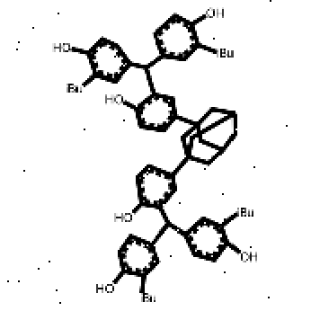 CCC(C)c1cc(C(c2ccc(O)c(C(C)CC)c2)c2cc(C34CC5CC(C3)CC(c3ccc(O)c(C(c6ccc(O)c(C(C)CC)c6)c6ccc(O)c(C(C)CC)c6)c3)(C5)C4)ccc2O)ccc1O